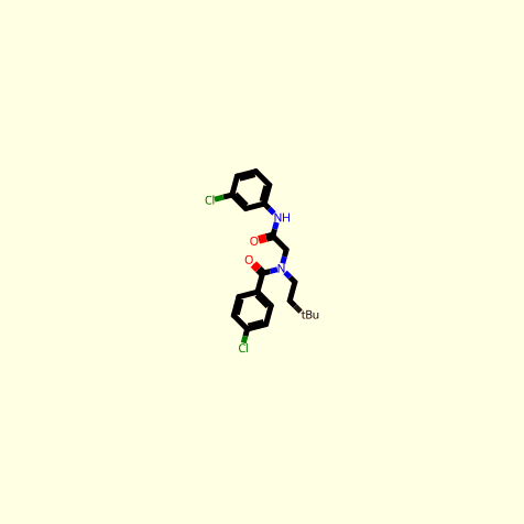 CC(C)(C)CCN(CC(=O)Nc1cccc(Cl)c1)C(=O)c1ccc(Cl)cc1